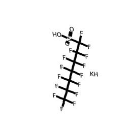 O=S(=O)(O)C(F)(F)C(F)(F)C(F)(F)C(F)(F)C(F)(F)C(F)(F)C(F)(F)F.[KH]